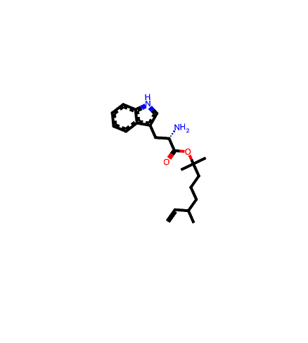 C=CC(C)CCCC(C)(C)OC(=O)[C@@H](N)Cc1c[nH]c2ccccc12